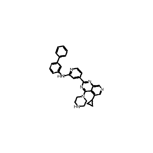 c1ccc(-c2cccc(Nc3cc(-c4nc(N5CCNCC5)c5c(C6CC6)cncc5n4)ccn3)c2)cc1